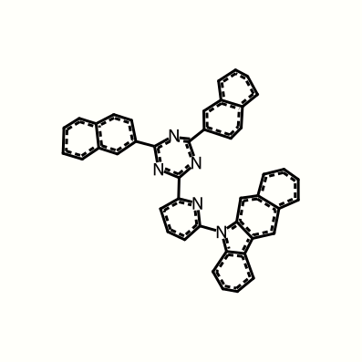 c1cc(-c2nc(-c3ccc4ccccc4c3)nc(-c3ccc4ccccc4c3)n2)nc(-n2c3ccccc3c3cc4ccccc4cc32)c1